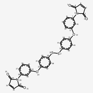 O=C1C=CC(=O)N1c1cccc(Oc2ccc(SSc3ccc(Oc4cccc(N5C(=O)C=CC5=O)c4)cc3)cc2)c1